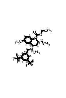 CCOC(=O)N1c2ccc(C)cc2[C@@H](N(C)Cc2cc(C(F)(F)F)cc(C(F)(F)F)c2)C[C@H]1CC